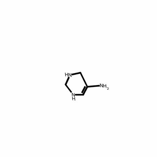 NC1=CNCNC1